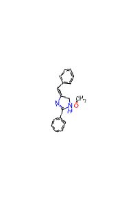 C(=C1CNC(c2ccccc2)=N1)c1ccccc1.C=O